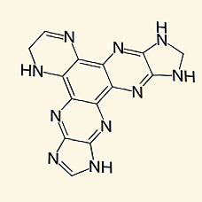 C1=Nc2c(c3nc4nc[nH]c4nc3c3nc4c(nc23)NCN4)NC1